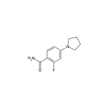 NC(=O)c1ccc(N2CCCC2)cc1F